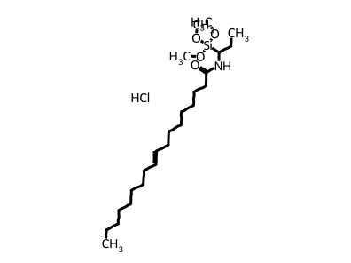 CCCCCCCCC=CCCCCCCCC(=O)NC(CC)[Si](OC)(OC)OC.Cl